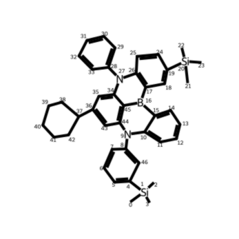 C[Si](C)(C)c1cccc(N2c3ccccc3B3c4cc([Si](C)(C)C)ccc4N(c4ccccc4)c4cc(C5CCCCC5)cc2c43)c1